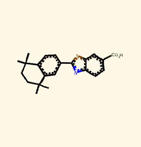 CC1(C)CCC(C)(C)c2cc(-c3nc4ccc(C(=O)O)cc4s3)ccc21